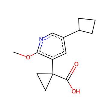 COc1ncc(C2CCC2)cc1C1(C(=O)O)CC1